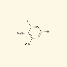 CNc1c(F)cc(Br)cc1[N+](=O)[O-]